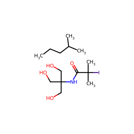 CC(C)(I)C(=O)NC(CO)(CO)CO.CCCC(C)C